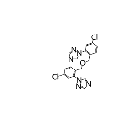 Clc1ccc(COCc2ccc(Cl)cc2-n2cncn2)c(-n2cncn2)c1